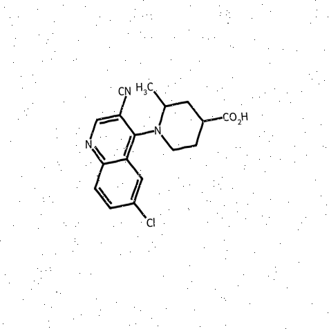 CC1CC(C(=O)O)CCN1c1c(C#N)cnc2ccc(Cl)cc12